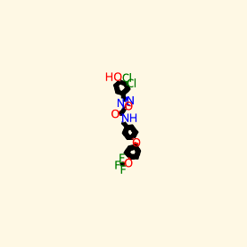 O=C(NCc1ccc(Oc2ccc(OC(F)(F)F)cc2)cc1)c1nc(C2=CC(Cl)(Cl)C(O)C=C2)no1